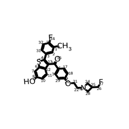 Cc1cc(-c2sc3cc(O)ccc3c2C(=O)c2ccc(OCCN3CC(CF)C3)cc2)ccc1F